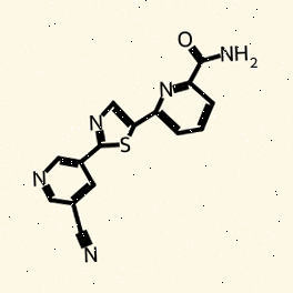 N#Cc1cncc(-c2ncc(-c3cccc(C(N)=O)n3)s2)c1